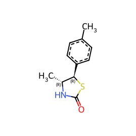 Cc1ccc([C@H]2SC(=O)N[C@@H]2C)cc1